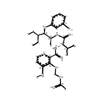 CCC(CC)[C@@H](Oc1cccc(F)c1)[C@H](C)OC(=O)[C@@H](NC(=O)c1nccc(OC)c1OCOC(C)=O)C(C)C